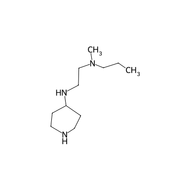 CCCN(C)CCNC1CCNCC1